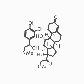 CC(=O)OCC(=O)[C@@]1(O)CC[C@H]2[C@@H]3CCC4=CC(=O)CC[C@]4(C)[C@H]3[C@@H](O)C[C@@]21C.CNC[C@H](O)c1ccc(O)c(O)c1